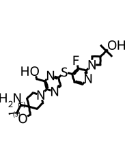 C[C@@H]1OCC2(CCN(c3ncc(Sc4ccnc(N5CC(C(C)(C)O)C5)c4F)nc3CO)CC2)[C@@H]1N